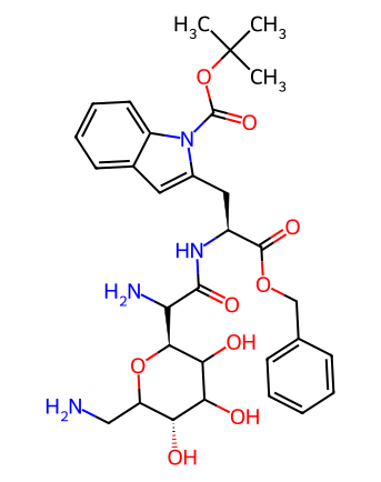 CC(C)(C)OC(=O)n1c(C[C@H](NC(=O)C(N)[C@@H]2OC(CN)[C@@H](O)C(O)C2O)C(=O)OCc2ccccc2)cc2ccccc21